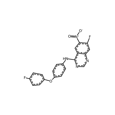 O=[N+]([O-])c1cc2c(Nc3ccc(Oc4ccc(F)cc4)cc3)ncnc2cc1F